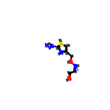 Nc1nc(CO/N=C\[C]=O)cs1